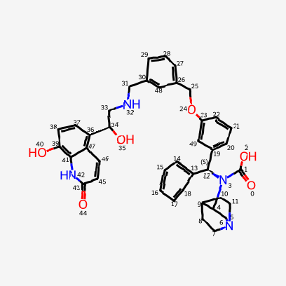 O=C(O)N(C1CN2CCC1CC2)[C@@H](c1ccccc1)c1cccc(OCc2cccc(CNCC(O)c3ccc(O)c4[nH]c(=O)ccc34)c2)c1